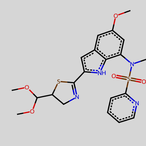 COc1cc(N(C)S(=O)(=O)c2ccccn2)c2[nH]c(C3=NCC(C(OC)OC)S3)cc2c1